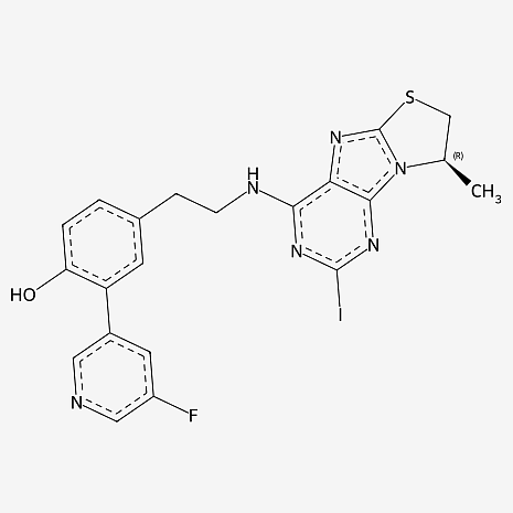 C[C@@H]1CSc2nc3c(NCCc4ccc(O)c(-c5cncc(F)c5)c4)nc(I)nc3n21